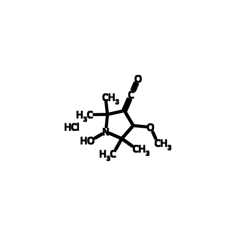 COC1C(=C=O)C(C)(C)N(O)C1(C)C.Cl